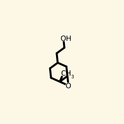 CC12CCC(CCO)CC1O2